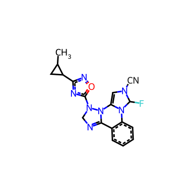 CC1CC1c1noc(N2CN=C3c4ccccc4N4C(=CN(C#N)C4F)N32)n1